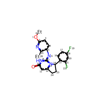 CCOc1ccc(/N=c2\[nH]c(=O)cc3n2C(c2ccc(F)cc2F)CC3)c(CC)n1